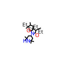 CCC(C)(CC)C(C)CC1C(=O)N(C2CC(C)(C)NC(C)(C)C2)C(=O)C1C(C)(CC)CC